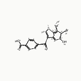 O=C(O)c1ccc(C(=O)c2coc3c(Br)c(Br)c(O)cc23)cc1